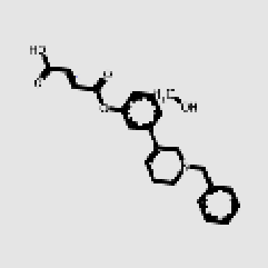 CO.O=C(O)/C=C/C(=O)Oc1cccc(C2=CCCN(Cc3ccccc3)C2)c1